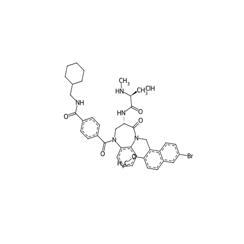 CN[C@@H](C)C(=O)N[C@H]1CN(C(=O)c2ccc(C(=O)NCC3CCCCC3)cc2)c2ccccc2N(Cc2c(OC)ccc3cc(Br)ccc23)C1=O.Cl